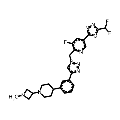 CN1CC(N2CCC(c3cccc(-c4cn(Cc5ncc(-c6nnc(C(F)F)o6)cc5F)nn4)c3)CC2)C1